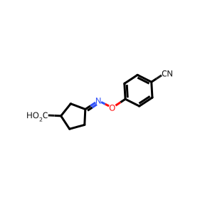 N#Cc1ccc(O/N=C2\CCC(C(=O)O)C2)cc1